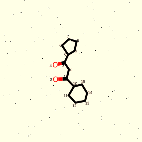 O=C(CC(=O)C1CCCC1)C1CCCCC1